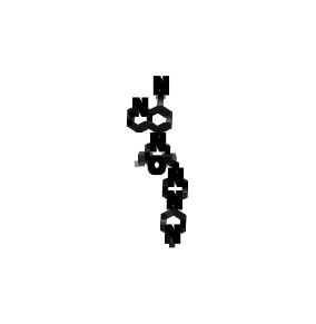 C[C@@H]1CN(c2ccc(C#N)c3ncccc23)C[C@@H](CN2CCN(C3CCN(C)CC3)CC2)O1